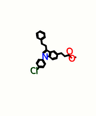 COC(=O)CCc1ccc2c(c1)c(CCc1ccccc1)cn2-c1ccc(Cl)cc1